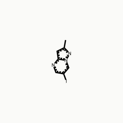 Cc1cc2ncc(I)cn2n1